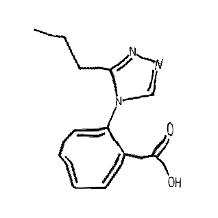 CCCc1nncn1-c1ccccc1C(=O)O